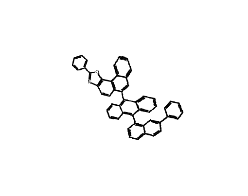 c1ccc(-c2ccc3cccc(-c4c5ccccc5c(-c5cc6ccccc6c6c5ccc5nc(-c7ccccc7)oc56)c5ccccc45)c3c2)cc1